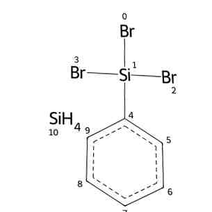 Br[Si](Br)(Br)c1ccccc1.[SiH4]